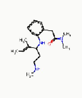 C/C=C(\C)C(CCNC)Nc1ccccc1CC(=O)N(C)C